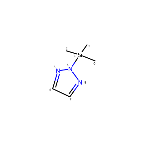 C[Si](C)(C)n1nccn1